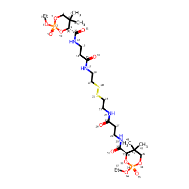 CCOP1(=O)OCC(C)(C)[C@H](C(=O)NCCC(=O)NCCSSCCNC(=O)CCNC(=O)[C@@H]2OP(=O)(OCC)OCC2(C)C)O1